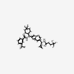 O=C(CCC(F)(F)F)N[C@@H](c1cnn2cc([C@@H](NC(=O)c3cccc(C(F)F)c3)C3CCC(F)(F)CC3)nc2c1)C1CC1